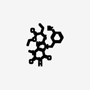 CCOC(=O)C(CC)Sc1nc2c(c(=O)[nH]c(=O)n2C)n1Cc1cccc(Br)c1